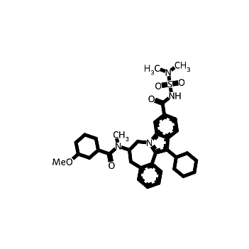 COC1CCCC(C(=O)N(C)C2Cc3ccccc3-c3c(C4CCCCC4)c4ccc(C(=O)NS(=O)(=O)N(C)C)cc4n3C2)C1